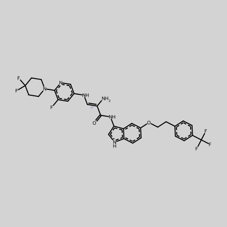 N/C(=C\Nc1cnc(N2CCC(F)(F)CC2)c(F)c1)C(=O)Nc1c[nH]c2ccc(OCCc3ccc(C(F)(F)F)cc3)cc12